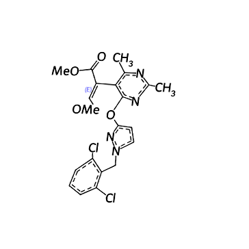 CO/C=C(/C(=O)OC)c1c(C)nc(C)nc1Oc1ccn(Cc2c(Cl)cccc2Cl)n1